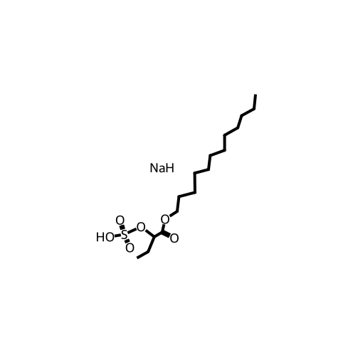 CCCCCCCCCCCCOC(=O)C(CC)OS(=O)(=O)O.[NaH]